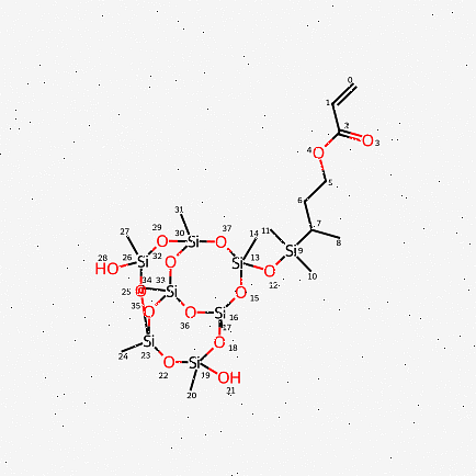 C=CC(=O)OCCC(C)[Si](C)(C)O[Si]1(C)O[Si]2(C)O[Si](C)(O)O[Si]3(C)O[Si](C)(O)O[Si](C)(O[Si](C)(O3)O2)O1